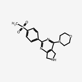 CS(=O)(=O)c1ccc(-c2nc3c(c(N4CCOCC4)n2)CNC3)cc1